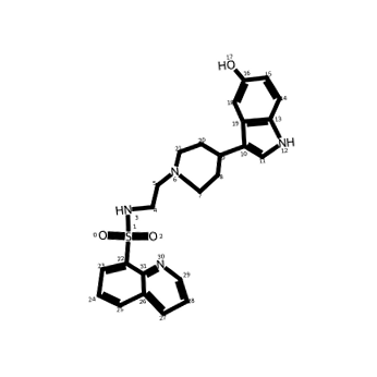 O=S(=O)(NCCN1CCC(c2c[nH]c3ccc(O)cc23)CC1)c1cccc2cccnc12